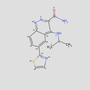 CC(C)Nc1c(C(N)=O)nnc2ccc(-c3nccs3)cc12